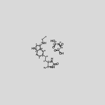 CCNc1c[nH]c2ccc(CCC3NC(=O)NC3C)cc12.O.O=C(O)/C=C\C(=O)O